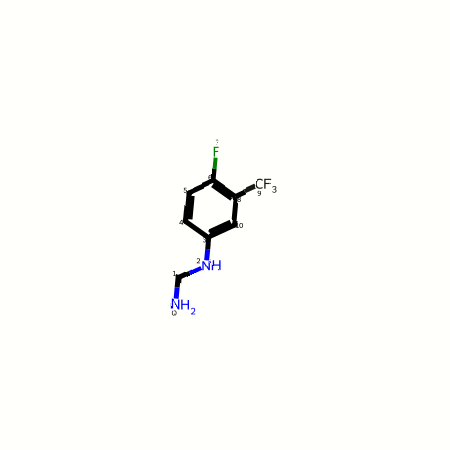 NCNc1ccc(F)c(C(F)(F)F)c1